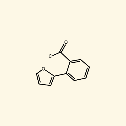 O=C(Cl)c1ccccc1-c1ccco1